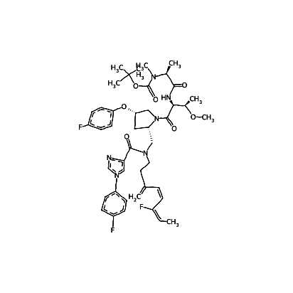 C=C(/C=C\C(F)=C/C)CCN(C[C@@H]1C[C@H](Oc2ccc(F)cc2)CN1C(=O)[C@@H](NC(=O)[C@H](C)N(C)C(=O)OC(C)(C)C)[C@@H](C)OC)C(=O)c1cn(-c2ccc(F)cc2)cn1